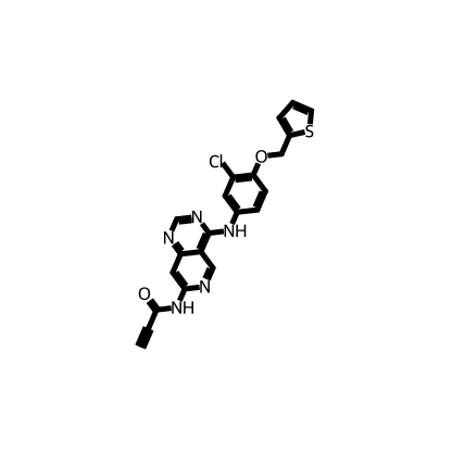 C#CC(=O)Nc1cc2ncnc(Nc3ccc(OCc4cccs4)c(Cl)c3)c2cn1